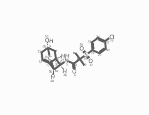 CC(C)(C(=O)N[C@@H]1[C@@H]2C[C@]3(O)CC=C2[C@@H]1C3)S(=O)(=O)c1ccc(Cl)cc1